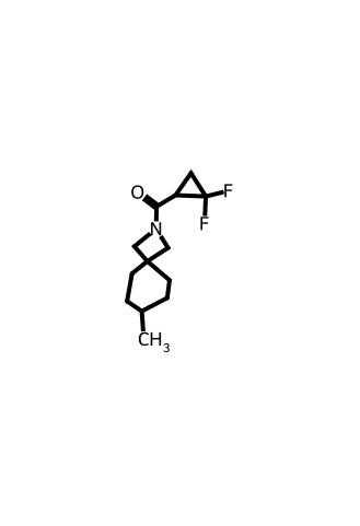 CC1CCC2(CC1)CN(C(=O)C1CC1(F)F)C2